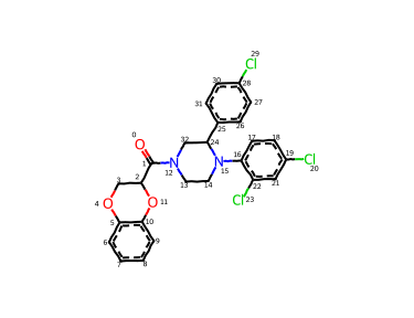 O=C(C1COc2ccccc2O1)N1CCN(c2ccc(Cl)cc2Cl)C(c2ccc(Cl)cc2)C1